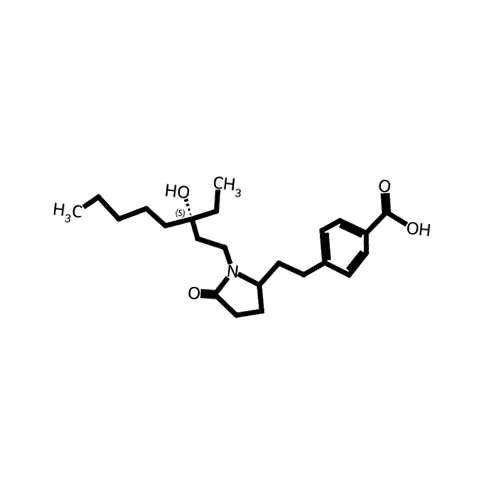 CCCCC[C@@](O)(CC)CCN1C(=O)CCC1CCc1ccc(C(=O)O)cc1